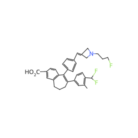 Cc1cc(C2=C(c3ccc(C=C4CN(CCCF)C4)cc3)c3ccc(C(=O)O)cc3CCC2)ccc1C(F)F